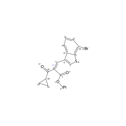 CC(C)OC(=O)/C(=C\c1csc2c(Br)cccc12)C(=O)C1CC1